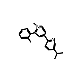 Cc1ccccc1-c1cc(-c2ccc(C(C)C)cn2)cc[n+]1C